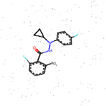 O=C(NN(c1ccc(F)cc1)C1CC1)c1c(F)cccc1[N+](=O)[O-]